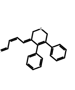 C=C/C=C\C=C1/CSCC(c2ccccc2)=C1c1ccccc1